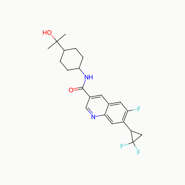 CC(C)(O)C1CCC(NC(=O)c2cnc3cc(C4CC4(F)F)c(F)cc3c2)CC1